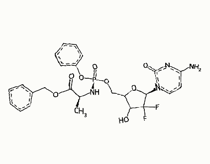 C[C@H](N[P@@](=O)(OCC1O[C@@H](n2ccc(N)nc2=O)C(F)(F)C1O)Oc1ccccc1)C(=O)OCc1ccccc1